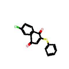 O=C1C=C(Sc2ccccc2)C(=O)c2ccc(Cl)cc21